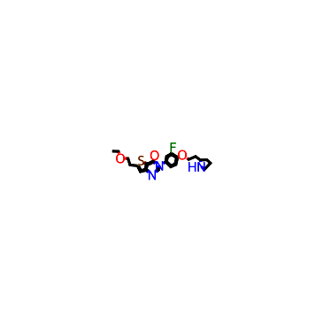 CCOCCc1cc2ncn(-c3ccc(OCCC4CCCN4)c(F)c3)c(=O)c2s1